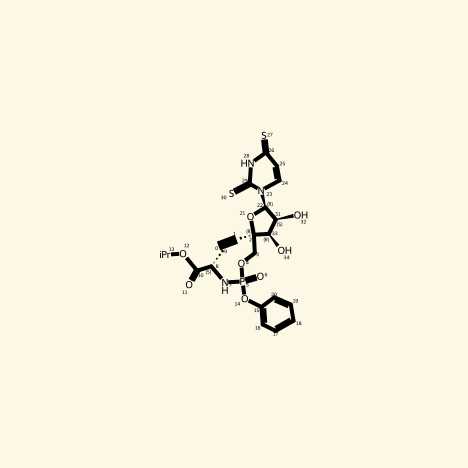 C#C[C@]1(COP(=O)(N[C@@H](C)C(=O)OC(C)C)Oc2ccccc2)O[C@@H](n2ccc(=S)[nH]c2=S)[C@@H](O)[C@H]1O